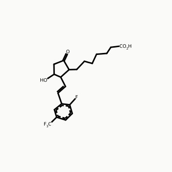 O=C(O)CCCCCCC1C(=O)CC(O)C1C=Cc1cc(C(F)(F)F)ccc1F